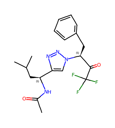 CC(=O)N[C@@H](CC(C)C)c1cn([C@@H](Cc2ccccc2)C(=O)C(F)(F)F)nn1